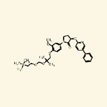 COc1cc(N2CCC(Oc3ccc(-c4ccccc4)cn3)C2=O)ccc1OCC(C)(C)OCOCC[Si](C)(C)C